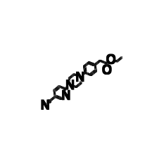 CCOC(=O)Cc1ccc(N2CCN(c3ccc(C#N)cn3)CC2)cc1